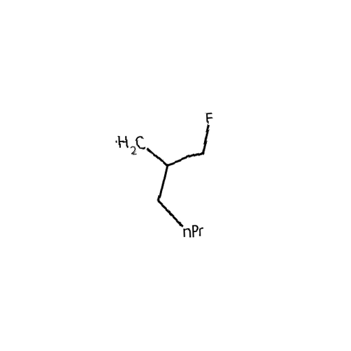 [CH2]C(CF)CCCC